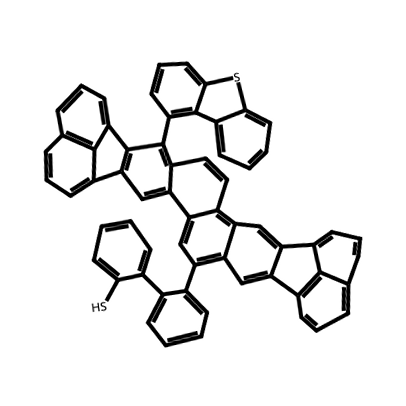 Sc1ccccc1-c1ccccc1-c1cc2c3cc4c(c(-c5cccc6sc7ccccc7c56)c3ccc2c2cc3c(cc12)-c1cccc2cccc-3c12)-c1cccc2cccc-4c12